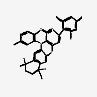 Cc1cc(C)c(-c2cc3c4c(n2)Oc2ccc(C)cc2B4c2cc4c(cc2O3)C(C)(C)CCC4(C)C)c(C)c1